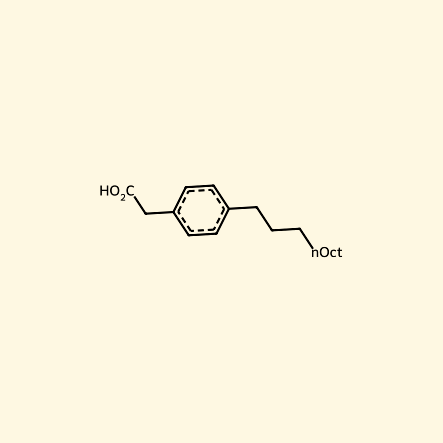 CCCCCCCCCCCc1ccc(CC(=O)O)cc1